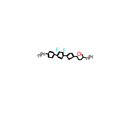 CCCc1ccc(-c2ccc(-c3ccc(C4CCC(CCC)CO4)cc3)c(F)c2F)cc1